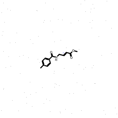 COC(=O)/C=C/CNC(=O)c1ccc(C)cc1